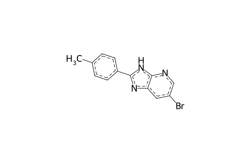 Cc1ccc(-c2nc3cc(Br)cnc3[nH]2)cc1